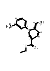 CCOC(=O)C1=CN(c2cccc(N)c2)C(=CO)C=C1